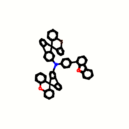 c1ccc2c(c1)Oc1ccccc1C21c2ccccc2-c2cc(N(c3ccc(-c4cccc5c4oc4ccccc45)cc3)c3ccc4c(c3)C3(c5ccccc5Sc5ccccc53)c3ccccc3-4)ccc21